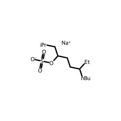 CCCCC(CC)CCC(CC(C)C)OS(=O)(=O)[O-].[Na+]